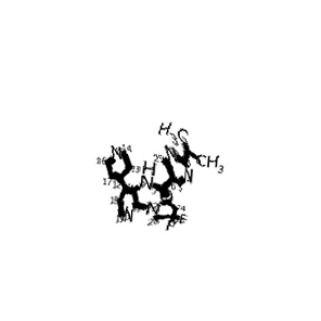 CC(C)c1ncc(C(=O)Nc2c(-c3ccncc3)ccnc2N2CCC(F)(F)C2)cn1